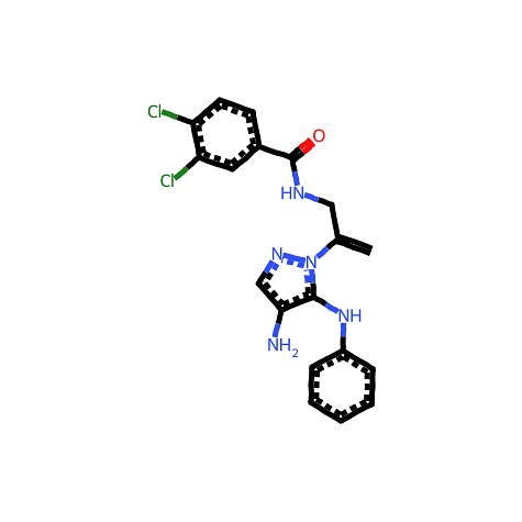 C=C(CNC(=O)c1ccc(Cl)c(Cl)c1)n1ncc(N)c1Nc1ccccc1